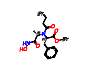 CC(C)CCC(=O)N([C@@H](C)C(=O)NO)[C@@H](Cc1ccccc1)C(=O)OC(C)C